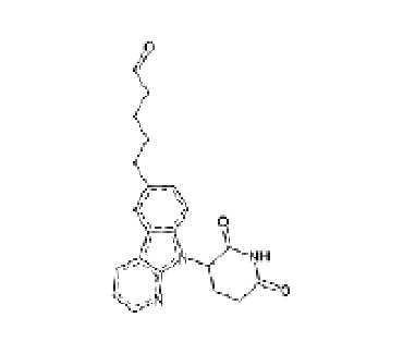 O=CCCCCc1ccc2c(c1)c1cccnc1n2C1CCC(=O)NC1=O